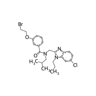 CCCn1c(CN(CC(C)C)C(=O)c2cccc(OCCBr)c2)nc2ccc(Cl)cc21